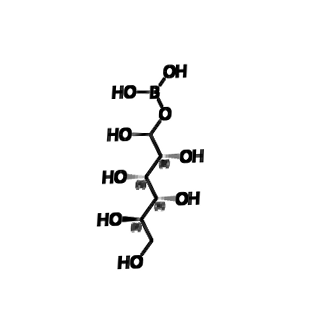 OC[C@@H](O)[C@@H](O)[C@H](O)[C@@H](O)C(O)OB(O)O